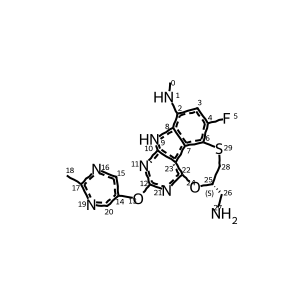 CNc1cc(F)c2c3c1[nH]c1nc(Oc4cnc(C)nc4)nc(c13)O[C@@H](CN)CS2